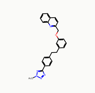 CC(=O)On1nnc(-c2ccc(CCc3cccc(OCc4ccc5ccccc5n4)c3)cc2)n1